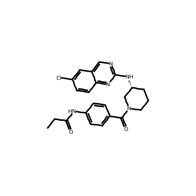 CCC(=O)Nc1ccc(C(=O)N2CCC[C@@H](Nc3ncc4cc(Cl)ccc4n3)C2)cc1